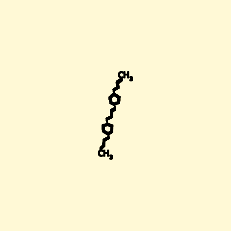 CC=CCC[C@H]1CC[C@H](C=CCC[C@H]2CC[C@H](CCCCC)CC2)CC1